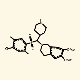 COc1cc2c(cc1OC)CN(C(C1CCNCC1)S(=O)(=O)c1cc(C)c(Cl)cc1C)CC2